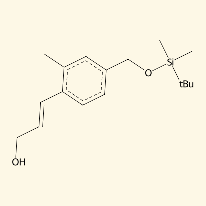 Cc1cc(CO[Si](C)(C)C(C)(C)C)ccc1C=CCO